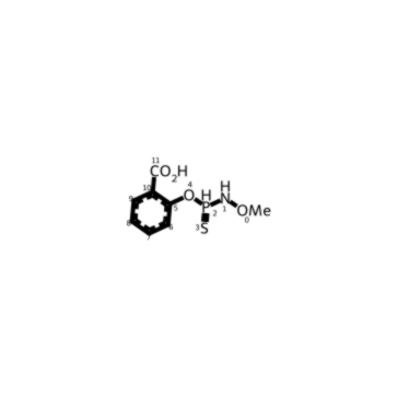 CON[PH](=S)Oc1ccccc1C(=O)O